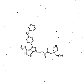 CCC(CO)(CO)CNC(=O)CCn1cc(-c2ccc(Oc3ccccc3)cc2)c2c(N)ncnc21